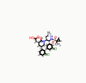 CC[C@@H](CNS(=O)(=O)C1(C)CC1)N1C(=O)[C@H](CC(=O)O)C[C@H](c2cccc(Cl)c2)[C@H]1c1ccc(Cl)cc1